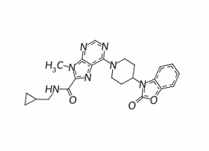 Cn1c(C(=O)NCC2CC2)nc2c(N3CCC(n4c(=O)oc5ccccc54)CC3)ncnc21